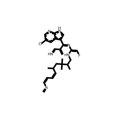 C=N/C=C\C=C/C(C)CC(C)(C)C(C)CNC(=C\F)/N=C(\C(=C)C=N)c1c[nH]c2ncc(Cl)cc12